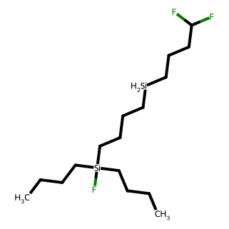 CCCC[Si](F)(CCCC)CCCC[SiH2]CCCC(F)F